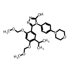 COCOc1cc(OCOC)c(C(C)C)cc1-c1nnc(O)n1-c1ccc(N2CCOCC2)cc1